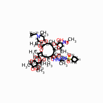 CO/N=C1\C[C@@H](C)O[C@@H](O[C@@H]2[C@@H](C)[C@H](O[C@H]3C[C@H](C)N(CC4CC4)C[C@H](C)O3)[C@@H](C)C(=O)O[C@H]([C@@H](C)CO[C@@H]3O[C@H](C)[C@@H](O)[C@@H](OC)[C@H]3OC)[C@H](C)[C@@H](OC(=O)CC(C)C)[C@@H](C)C(=O)[C@@](C)(OC(=O)NC(C)(C)CNS(=O)(=O)c3ccccc3)C[C@@H]2C)[C@@H]1O